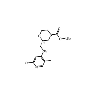 Cc1cnc(Cl)cc1NC[C@H]1CN(C(=O)OC(C)(C)C)CCO1